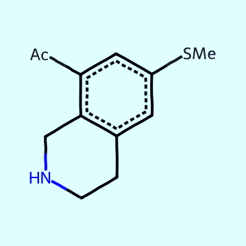 CSc1cc2c(c(C(C)=O)c1)CNCC2